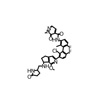 COc1nc(-c2ccc(F)c(-c3c(F)ccc(NC(=O)c4ccnn(C)c4=O)c3C)c2Cl)cc2c1C(NCC1CCC(=O)N1)CC2